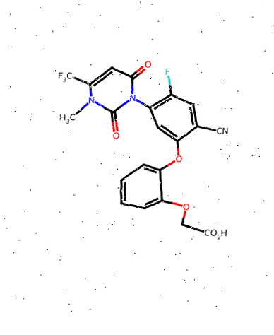 Cn1c(C(F)(F)F)cc(=O)n(-c2cc(Oc3ccccc3OCC(=O)O)c(C#N)cc2F)c1=O